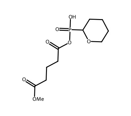 COC(=O)CCCC(=O)OP(=O)(O)C1CCCCO1